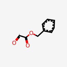 O=[C]C(=O)OCc1ccccc1